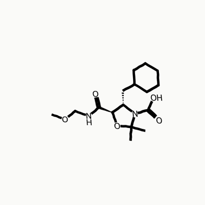 COCNC(=O)[C@@H]1OC(C)(C)N(C(=O)O)[C@H]1CC1CCCCC1